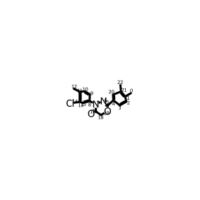 Cc1ccc(C2=NN(c3ccc(C)c(Cl)c3)C(=O)CO2)cc1C